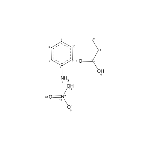 CCC(=O)O.Nc1ccccc1.O=[N+]([O-])O